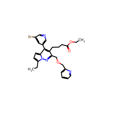 CCOC(=O)CCCc1c(COCc2ccccn2)nn2c(CC)ccc2c1-c1cncc(Br)c1